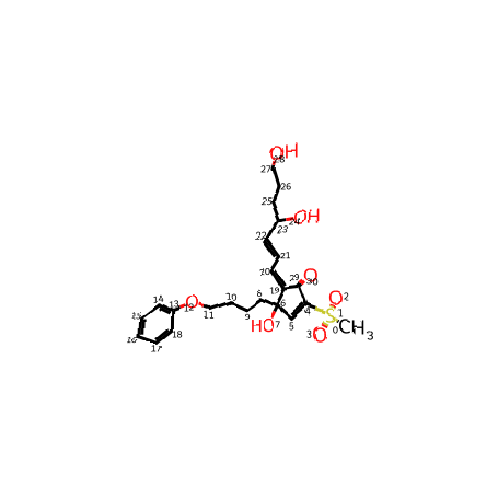 CS(=O)(=O)C1=CC(O)(CCCCOc2ccccc2)C(=CC=CC(O)CCCO)C1=O